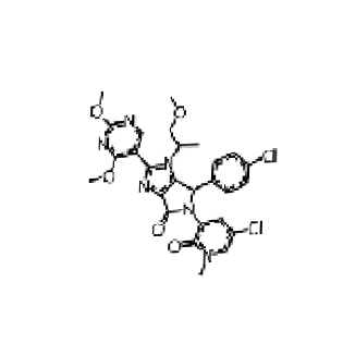 COCC(C)n1c(-c2cnc(OC)nc2OC)nc2c1C(c1ccc(Cl)cc1)N(c1cc(Cl)cn(C)c1=O)C2=O